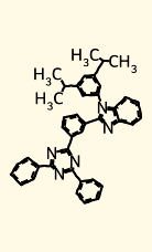 CC(C)c1cc(C(C)C)cc(-n2c(-c3cccc(-c4nc(-c5ccccc5)nc(-c5ccccc5)n4)c3)nc3ccccc32)c1